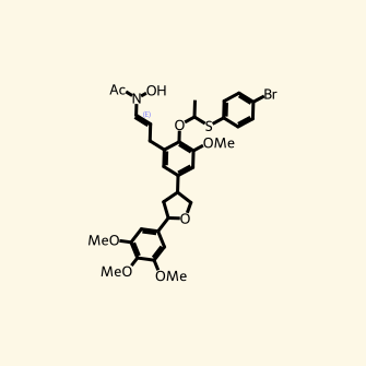 COc1cc(C2COC(c3cc(OC)c(OC)c(OC)c3)C2)cc(C/C=C/N(O)C(C)=O)c1OC(C)Sc1ccc(Br)cc1